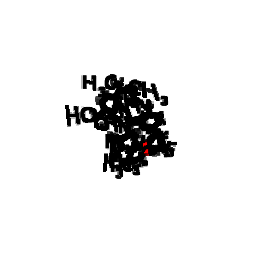 CC[C@H](C1CCC(C(=O)O)CC1)N(C)c1nc2c(c(N[C@@H](CN3CCC[C@H](C)C3)c3cnn(C)c3)n1)C[C@H](c1cccc(F)c1)CC2